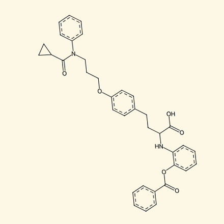 O=C(Oc1ccccc1NC(CCc1ccc(OCCCN(C(=O)C2CC2)c2ccccc2)cc1)C(=O)O)c1ccccc1